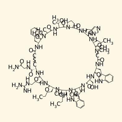 CCCC[C@H]1C(O)N(C)[C@@H](CCCC)C(=O)N[C@@H](CCCNC(=N)N)C(=O)N[C@H](C(=O)NCC(N)=O)CSCC(=O)N[C@@H](Cc2ccccc2)C(=O)N(C)[C@@H](C)C(=O)N[C@@H]([C@@H](C)O)C(=O)N2CCC[C@H]2C(=O)N[C@@H](Cc2cnc[nH]2)C(=O)N[C@@H](CC(C)C)C(=O)N(C)CC(=O)N[C@@H](Cc2c[nH]c3ccccc23)C(=O)N[C@@H](CO)C(=O)N[C@@H](Cc2c[nH]c3ccccc23)C(=O)N1C